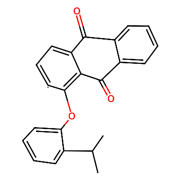 CC(C)c1ccccc1Oc1[c]ccc2c1C(=O)c1ccccc1C2=O